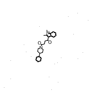 Cc1c(C(=O)CCC(=O)N2CCC(c3ccccc3)CC2)c2ccccc2n1C